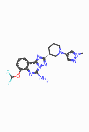 Cn1cc(N2CCC[C@@H](c3nc4c5cccc(OC(F)F)c5nc(N)n4n3)C2)cn1